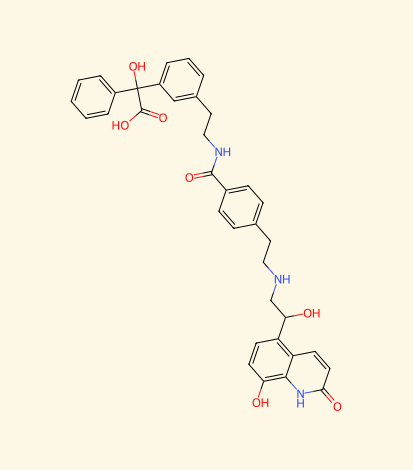 O=C(NCCc1cccc(C(O)(C(=O)O)c2ccccc2)c1)c1ccc(CCNCC(O)c2ccc(O)c3[nH]c(=O)ccc23)cc1